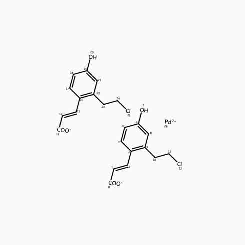 O=C([O-])C=Cc1ccc(O)cc1CCCl.O=C([O-])C=Cc1ccc(O)cc1CCCl.[Pd+2]